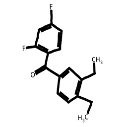 CCc1ccc(C(=O)c2ccc(F)cc2F)cc1CC